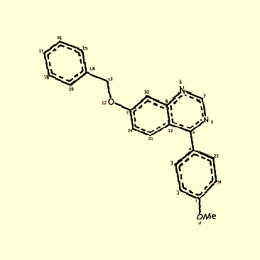 COc1ccc(-c2ncnc3cc(OCc4ccccc4)ccc23)cc1